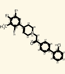 Cc1c(F)c(F)cc(C2=CCN(CC(=O)c3ccc(-c4ccccc4Cl)cc3)CC2)c1F